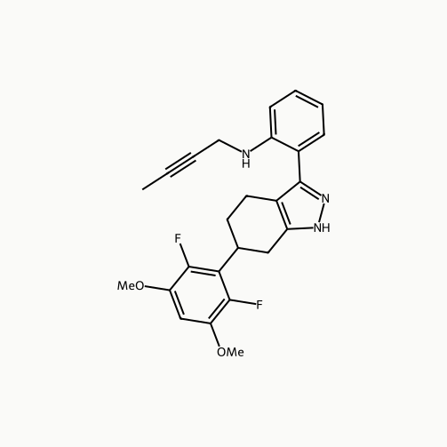 CC#CCNc1ccccc1-c1n[nH]c2c1CCC(c1c(F)c(OC)cc(OC)c1F)C2